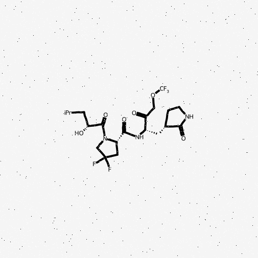 CC(C)C[C@@H](O)C(=O)N1CC(F)(F)C[C@H]1C(=O)N[C@@H](C[C@@H]1CCNC1=O)C(=O)COC(F)(F)F